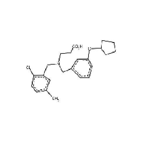 Cc1ccc(Cl)c(CN(CCC(=O)O)Cc2cccc(OC3CCCC3)c2)c1